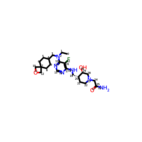 CCN(CC1CCC2(CC1)COC2)c1ncnc(NC[C@H]2CCN(CC(N)=O)C[C@@H]2O)c1F